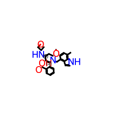 COc1cc(C)c2[nH]ccc2c1CN1CC[C@H](NC2COC2)C[C@H]1c1ccccc1C(=O)O